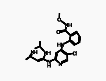 CONC(=O)c1ccccc1Nc1cc(N/C(=C/C(C)=N)NC(C)C)ncc1Cl